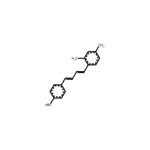 CCCCc1ccc(C=CC=Cc2ccc(C)cc2C)cc1